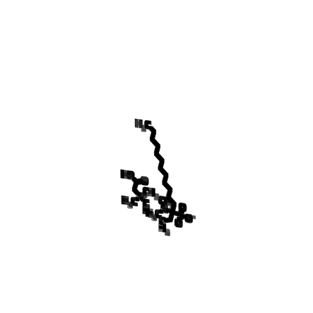 CCCCCCCCCCCCC(CC)(N(C)C)S(=O)(=O)[O-].C[N+](C)(C)CC(=O)O